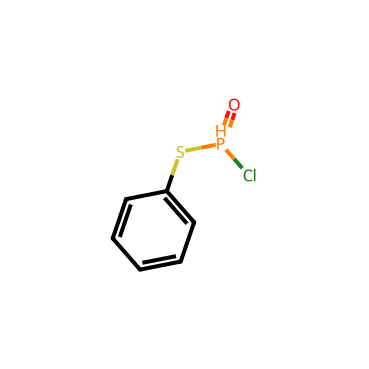 O=[PH](Cl)Sc1ccccc1